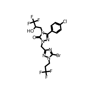 O=c1n(Cc2nc(Br)n(CCC(F)(F)F)n2)nc(-c2ccc(Cl)cc2)n1CC(O)C(F)(F)F